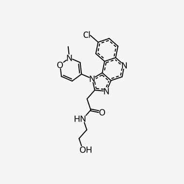 CN1C=C(n2c(CC(=O)NCCO)nc3cnc4ccc(Cl)cc4c32)C=CO1